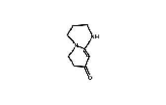 O=C1C=C2NCCCN2CC1